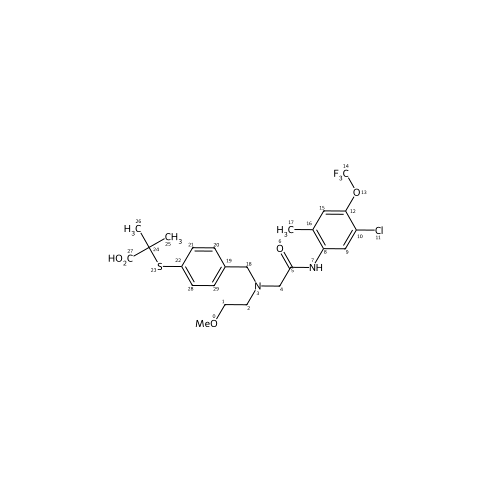 COCCN(CC(=O)Nc1cc(Cl)c(OC(F)(F)F)cc1C)Cc1ccc(SC(C)(C)C(=O)O)cc1